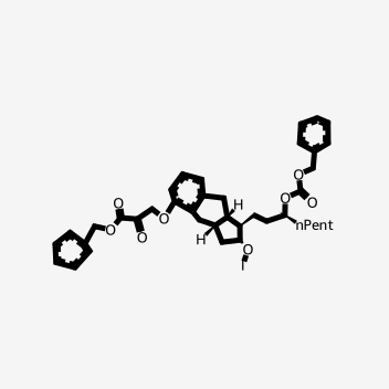 CCCCC[C@@H](CC[C@@H]1[C@H]2Cc3cccc(OCC(=O)C(=O)OCc4ccccc4)c3C[C@H]2C[C@H]1OI)OC(=O)OCc1ccccc1